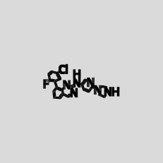 Fc1ccc(Cl)cc1-c1cccc2cnc(Nc3ccc(N4CCNCC4)nc3)nc12